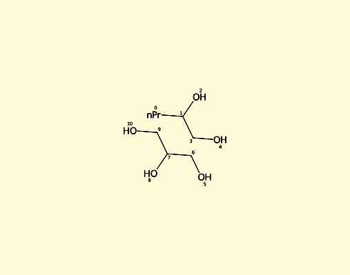 CCCC(O)CO.OCC(O)CO